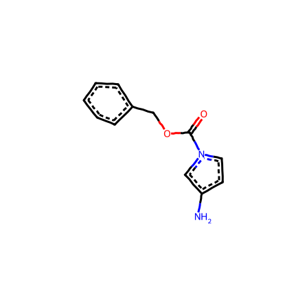 Nc1ccn(C(=O)OCc2ccccc2)c1